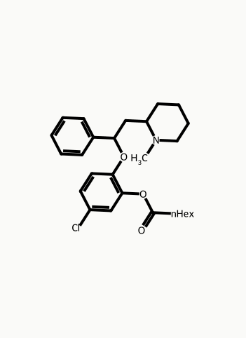 CCCCCCC(=O)Oc1cc(Cl)ccc1OC(CC1CCCCN1C)c1ccccc1